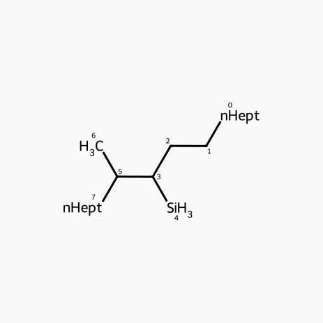 CCCCCCCCCC([SiH3])C(C)CCCCCCC